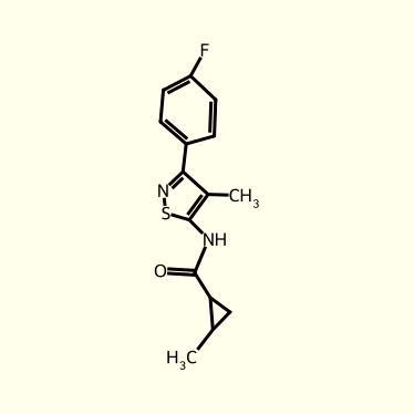 Cc1c(-c2ccc(F)cc2)nsc1NC(=O)C1CC1C